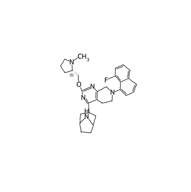 CN1CCC[C@H]1COc1nc2c(c(C3CC4CCC(C3)N4)n1)CCN(c1cccc3cccc(F)c13)C2